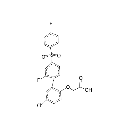 O=C(O)COc1ccc(Cl)cc1-c1ccc(S(=O)(=O)c2ccc(F)cc2)cc1F